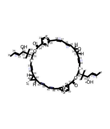 C/C=C/[C@H](O)C(C)(C)[C@@H]1C/C=C\[C@H]2O[C@H]2/C=C/C=C\c2nc(cs2)C(=O)O[C@H](C(C)(C)[C@@H](O)/C=C/C)C/C=C\[C@H]2[C@@H](C)[C@H]2/C=C/C=C\c2nc(cs2)C(=O)O1